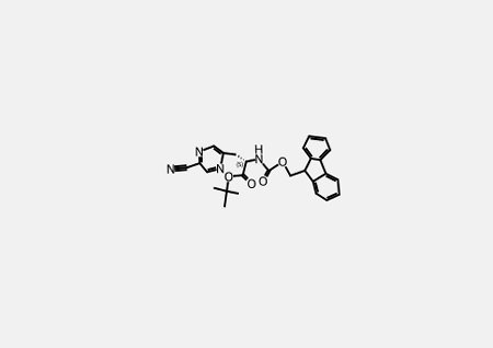 CC(C)(C)OC(=O)[C@H](Cc1cnc(C#N)cn1)NC(=O)OCC1c2ccccc2-c2ccccc21